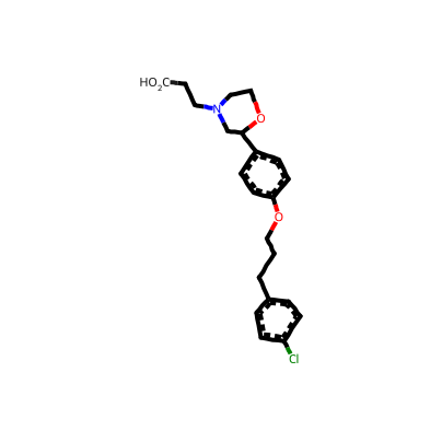 O=C(O)CCN1CCOC(c2ccc(OCCCc3ccc(Cl)cc3)cc2)C1